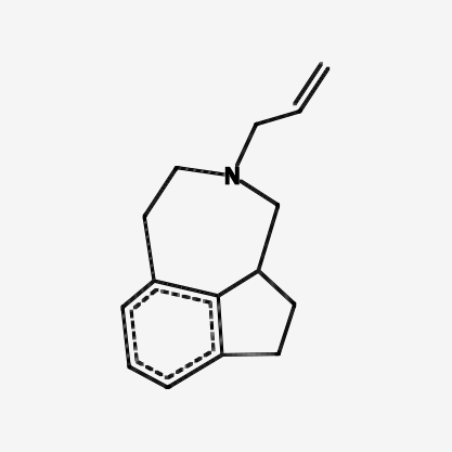 C=CCN1CCc2cccc3c2C(CC3)C1